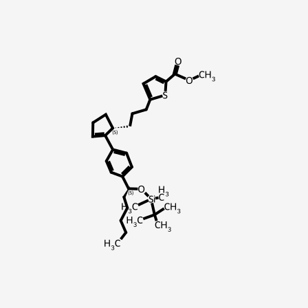 CCCCC[C@H](O[Si](C)(C)C(C)(C)C)c1ccc(C2=CCC[C@@H]2CCCc2ccc(C(=O)OC)s2)cc1